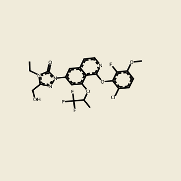 CCn1c(CO)nn(-c2cc(OC(C)C(F)(F)F)c3c(Oc4c(Cl)ccc(OC)c4F)nccc3c2)c1=O